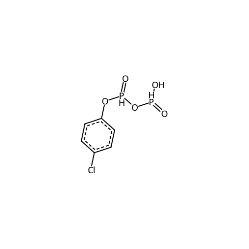 O=[PH](O)O[PH](=O)Oc1ccc(Cl)cc1